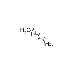 C=[CH][Li][CH2]CC=CCC